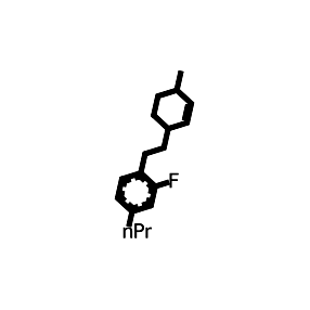 CCCc1ccc(CCC2C=CC(C)CC2)c(F)c1